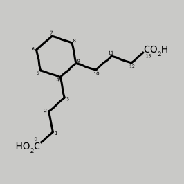 O=C(O)CCCC1C[CH]CCC1CCCC(=O)O